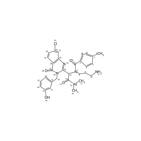 Cc1ccc(C(=O)N(CCCN)C(C(=O)[As](C)C)c2nc3cc(Cl)ccc3c(=O)n2Cc2cccc(O)c2)cc1